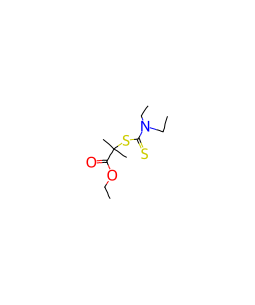 CCOC(=O)C(C)(C)SC(=S)N(CC)CC